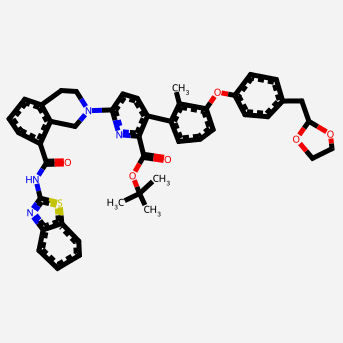 Cc1c(Oc2ccc(CC3OCCO3)cc2)cccc1-c1ccc(N2CCc3cccc(C(=O)Nc4nc5ccccc5s4)c3C2)nc1C(=O)OC(C)(C)C